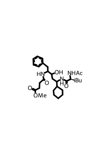 CCC(C)[C@H](NC(C)=O)C(=O)NC(CC(O)C(Cc1ccccc1)NC(=O)CCC(=O)OC)C1CCCCC1